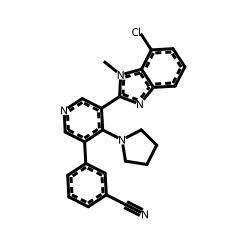 Cn1c(-c2cncc(-c3cccc(C#N)c3)c2N2CCCC2)nc2cccc(Cl)c21